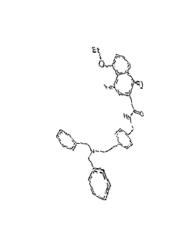 CCOc1cccc2c(=O)c(C(=O)NCc3ccc(CN(Cc4ccccc4)Cc4ccccc4)cc3)c[nH]c12